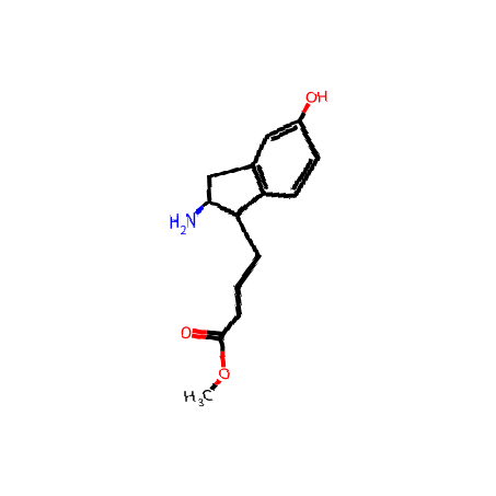 COC(=O)CCCC1c2ccc(O)cc2CC1N